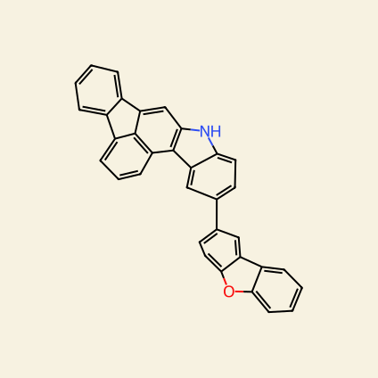 c1ccc2c(c1)-c1cccc3c1c-2cc1[nH]c2ccc(-c4ccc5oc6ccccc6c5c4)cc2c13